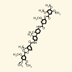 CCOc1cc(OC)c(C(=O)Oc2ccc(C(=O)Nc3ccc(-c4ccc(NC(=O)c5ccc(OC(=O)c6cc(OC)c(OC)cc6OC)c(OC)c5)cc4C)c(C)c3)cc2OC)cc1OCC